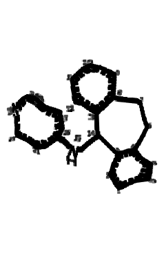 c1ccc2c(c1)CCc1ccccc1C2Nc1ccncc1